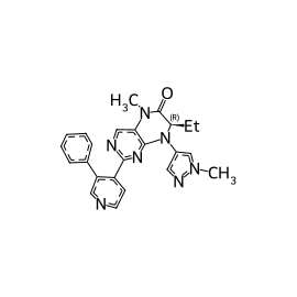 CC[C@@H]1C(=O)N(C)c2cnc(-c3ccncc3-c3ccccc3)nc2N1c1cnn(C)c1